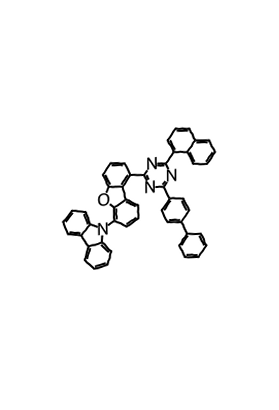 c1ccc(-c2ccc(-c3nc(-c4cccc5ccccc45)nc(-c4cccc5oc6c(-n7c8ccccc8c8ccccc87)cccc6c45)n3)cc2)cc1